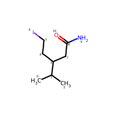 CC(C)C(CCI)CC(N)=O